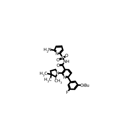 CC(C)COc1cc(F)cc(-c2ccc(C(=O)NS(=O)(=O)c3cccc(N)n3)c(N3CCC(C)(C)[C@H]3C)n2)c1